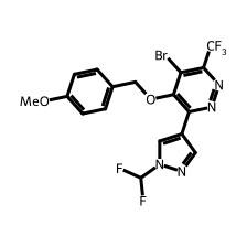 COc1ccc(COc2c(-c3cnn(C(F)F)c3)nnc(C(F)(F)F)c2Br)cc1